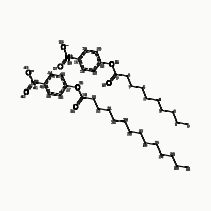 CCCCCCCCCC(=O)Oc1ccc([N+](=O)[O-])cc1.CCCCCCCCCCCCCC(=O)Oc1ccc([N+](=O)[O-])cc1